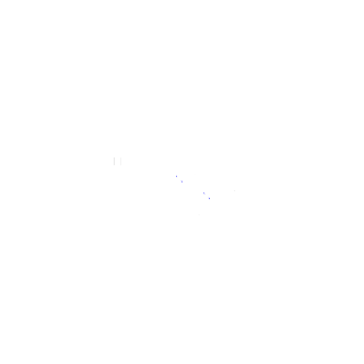 Cc1cccc(N(C)C(=S)Cl)n1